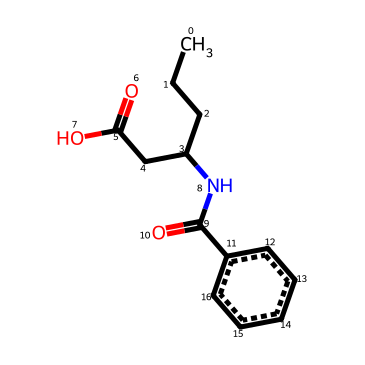 CCCC(CC(=O)O)NC(=O)c1ccccc1